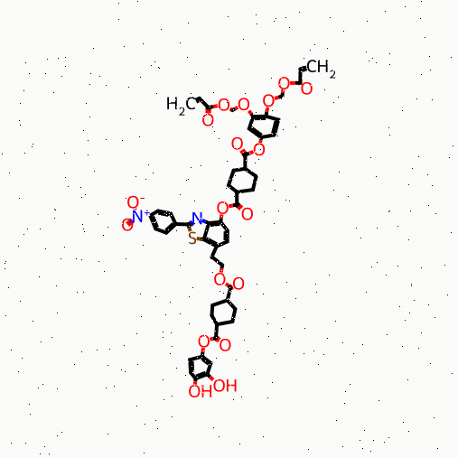 C=CC(=O)OCOc1ccc(OC(=O)C2CCC(C(=O)Oc3ccc(CCOC(=O)C4CCC(C(=O)Oc5ccc(O)c(O)c5)CC4)c4sc(-c5ccc([N+](=O)[O-])cc5)nc34)CC2)cc1OCOC(=O)C=C